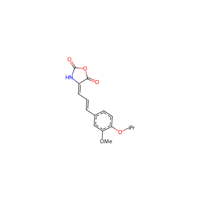 COc1cc(C=CC=C2NC(=O)OC2=O)ccc1OC(C)C